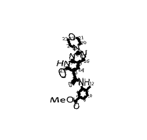 C=C(Nc1cc(C(=O)OC)ccc1C)c1cc2cnc(N3CCOCC3)nc2[nH]c1=O